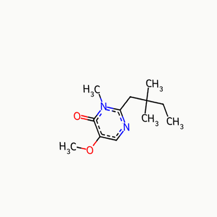 CCC(C)(C)Cc1ncc(OC)c(=O)n1C